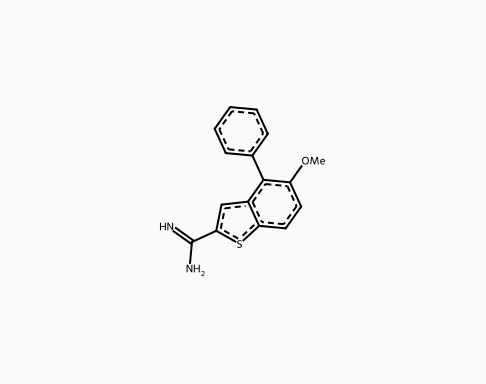 COc1ccc2sc(C(=N)N)cc2c1-c1ccccc1